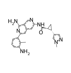 Cc1c(N)cccc1-c1cc2cc(NC(=O)[C@H]3C[C@@H]3c3cnn(C)c3)ncc2c(N)n1